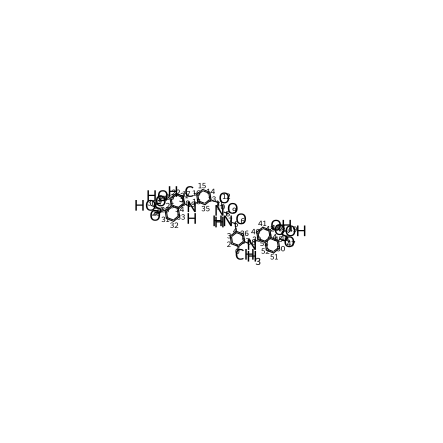 Cc1ccc(C(=O)NC(=O)NC(=O)c2ccc(C)c(Nc3ccc(O)c4c(S(=O)(=O)O)cccc34)c2)cc1Nc1ccc(O)c2c(S(=O)(=O)O)cccc12